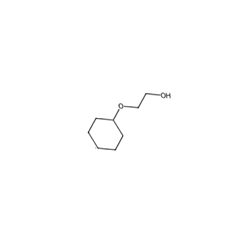 OCCOC1CC[CH]CC1